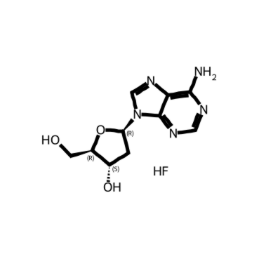 F.Nc1ncnc2c1ncn2[C@H]1C[C@H](O)[C@@H](CO)O1